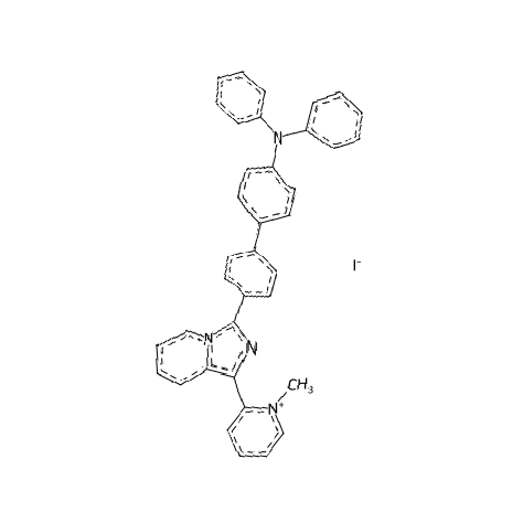 C[n+]1ccccc1-c1nc(-c2ccc(-c3ccc(N(c4ccccc4)c4ccccc4)cc3)cc2)n2ccccc12.[I-]